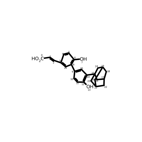 O=C(O)C=Cc1ccc(O)c(-c2ccc(O)c(C34CC5CC(CC(C5)C3)C4)c2)c1